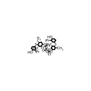 CCC(CC)(Oc1cc(C)c(Sc2ccc(O)c(C(C)C)c2)c(C)c1)O[PH](=O)OC(CC)(CC)Oc1cc(C)c(Sc2ccc(O)c(C(C)C)c2)c(C)c1